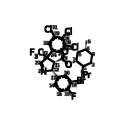 CC(C)C1CC[C@@H](C)C[C@H]1OC(=O)[C@@H]1[C@H](c2ccc(F)c(Br)c2)N=C[C@@]1(c1cc(Cl)c(Cl)c(Cl)c1)C(F)(F)F